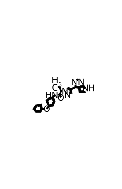 CCC(C(=O)Nc1ccc(Oc2ccccc2)cc1)n1cc(-c2ncnc3[nH]ccc23)cn1